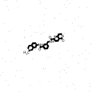 CN1CCc2ccc(NC(=O)c3cccc(CNC(=O)C4=NC5=CC=NC(=O)C5C=C4)c3)cc2C1